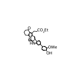 CCOC(=O)CCc1c(/C=C2\C(=O)Nc3cc(-c4ccc(O)c(OC)c4)ccc32)[nH]c2c1C(=O)CCC2